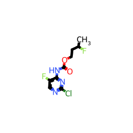 CC(F)CCOC(=O)Nc1nc(Cl)ncc1F